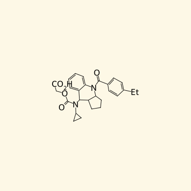 CCc1ccc(C(=O)N2c3ccccc3C(N(C(=O)OCC(=O)O)C3CC3)C3CCCC32)cc1